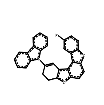 Brc1ccc2oc3ccc4oc5c(c4c3c2c1)C=C(n1c2ccccc2c2ccccc21)CC5